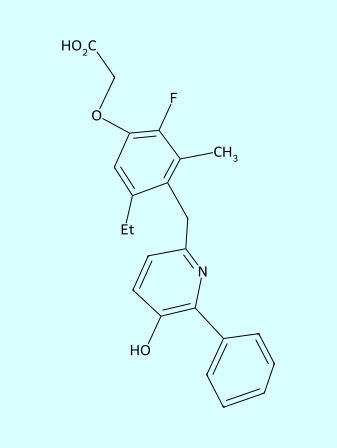 CCc1cc(OCC(=O)O)c(F)c(C)c1Cc1ccc(O)c(-c2ccccc2)n1